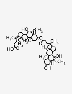 CC[C@H]1[C@@H](O)C2C3CC[C@H]([C@H](C)CCC(=O)O[C@@H]4CC[C@]5(C)C6CC[C@@]7(C)C(CC[C@@H]7[C@H](C)CCC(=O)O)C6[C@H](O)[C@H](CC)[C@@H]5C4)[C@@]3(C)CCC2[C@@]2(C)CC[C@@H](O)C[C@@H]12